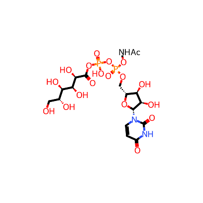 CC(=O)NOP(=O)(OC[C@H]1O[C@@H](n2ccc(=O)[nH]c2=O)[C@H](O)[C@@H]1O)OP(=O)(O)OC(=O)[C@H](O)[C@@H](O)[C@H](O)[C@H](O)CO